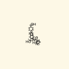 CC(C)(O)c1cc2nn([C@H]3CC[C@H](CO)CC3)cc2cc1NC(=O)c1cnccn1